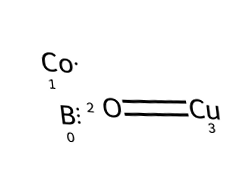 [B].[Co].[O]=[Cu]